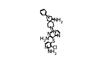 Nc1nccc(Sc2c(N)nc(N3CCC4(CC3)CN(c3ccccc3)C[C@H]4N)n3ccnc23)c1Cl